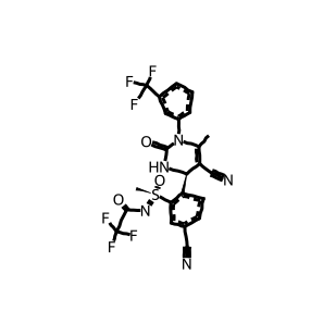 CC1=C(C#N)[C@@H](c2ccc(C#N)cc2[S@@](C)(=O)=NC(=O)C(F)(F)F)NC(=O)N1c1cccc(C(F)(F)F)c1